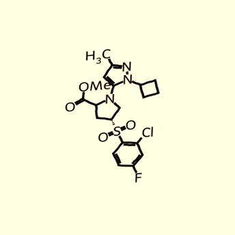 COC(=O)C1C[C@@H](S(=O)(=O)c2ccc(F)cc2Cl)CN1c1cc(C)nn1C1CCC1